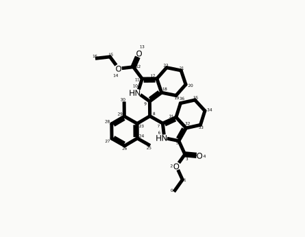 CCOC(=O)c1[nH]c(C(c2[nH]c(C(=O)OCC)c3c2CCCC3)c2c(C)cccc2C)c2c1CCCC2